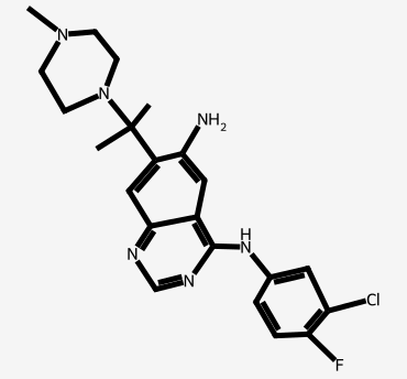 CN1CCN(C(C)(C)c2cc3ncnc(Nc4ccc(F)c(Cl)c4)c3cc2N)CC1